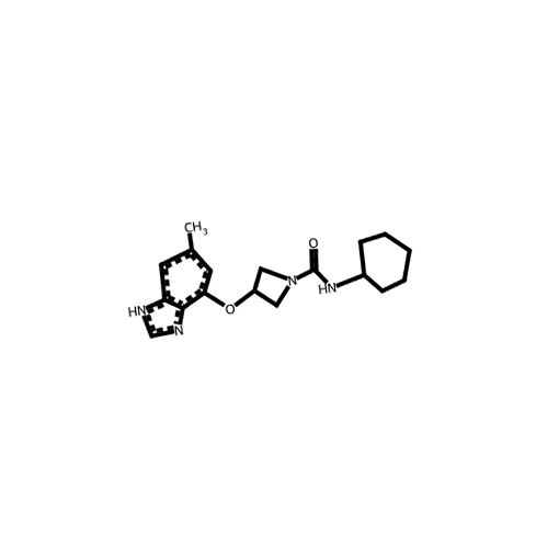 Cc1cc(OC2CN(C(=O)NC3CCCCC3)C2)c2nc[nH]c2c1